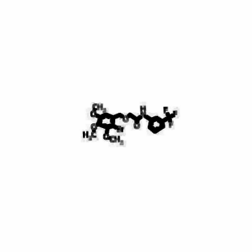 COc1cc(COCC(=O)Nc2cccc(C(F)(F)F)c2)c(Br)c(OC)c1OC